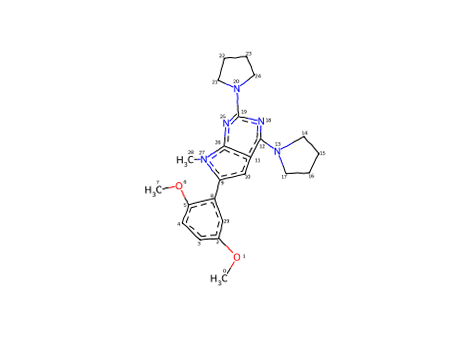 COc1ccc(OC)c(-c2cc3c(N4CCCC4)nc(N4CCCC4)nc3n2C)c1